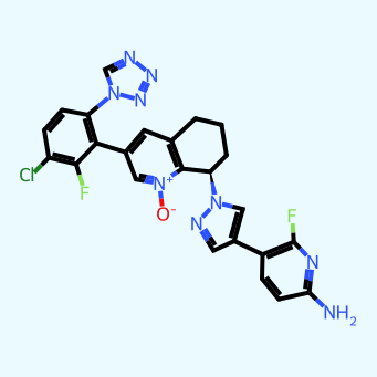 Nc1ccc(-c2cnn([C@@H]3CCCc4cc(-c5c(-n6cnnn6)ccc(Cl)c5F)c[n+]([O-])c43)c2)c(F)n1